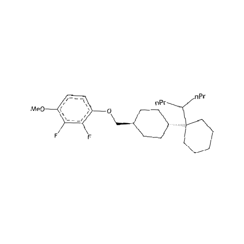 CCCC(CCC)C1([C@H]2CC[C@H](COc3ccc(OC)c(F)c3F)CC2)CCCCC1